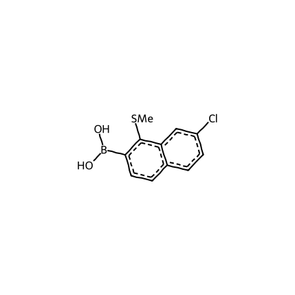 CSc1c(B(O)O)ccc2ccc(Cl)cc12